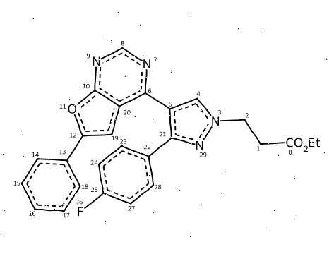 CCOC(=O)CCn1cc(-c2ncnc3oc(-c4ccccc4)cc23)c(-c2ccc(F)cc2)n1